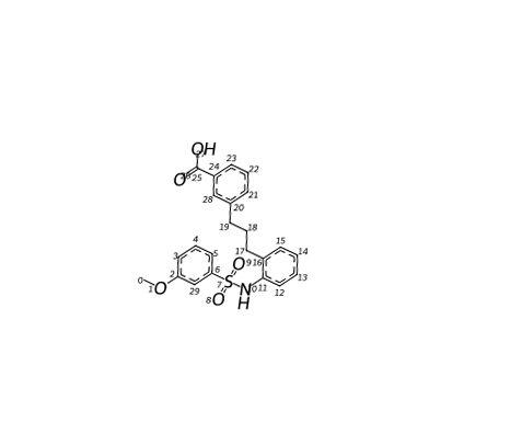 COc1cccc(S(=O)(=O)Nc2ccccc2CCCc2cccc(C(=O)O)c2)c1